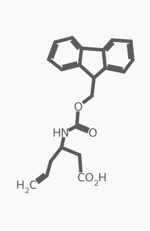 C=CCC(CC(=O)O)NC(=O)OCC1c2ccccc2-c2ccccc21